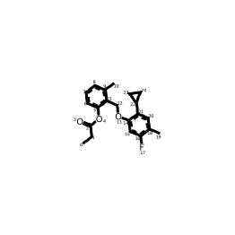 CCC(=O)Oc1cccc(C)c1COc1cc(F)c(C)cc1C1CC1